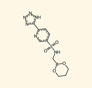 O=S(=O)(NCB1OCCCO1)c1ccc(-c2nnn[nH]2)nc1